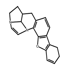 C1=Cc2oc3c4c(ccc3c2CC1)CC1CCN2C=CN4C12